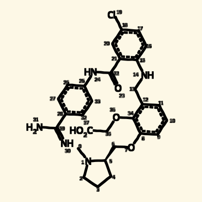 CN1CCC[C@@H]1COc1cccc(CNc2ccc(Cl)cc2C(=O)Nc2ccc(C(=N)N)cc2)c1OCC(=O)O